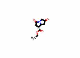 CCOC(=O)[C@@H]1CC(=O)N2CC(=O)CC12